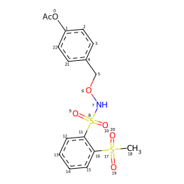 CC(=O)Oc1ccc(CONS(=O)(=O)c2ccccc2S(C)(=O)=O)cc1